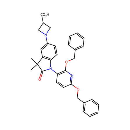 CC1(C)C(=O)N(c2ccc(OCc3ccccc3)nc2OCc2ccccc2)c2ccc(N3CC(C(=O)O)C3)cc21